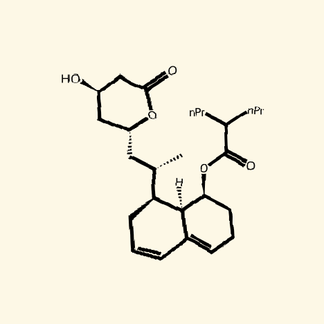 CCCC(CCC)C(=O)O[C@H]1CCC=C2C=CC[C@@H]([C@@H](C)C[C@@H]3C[C@@H](O)CC(=O)O3)[C@H]21